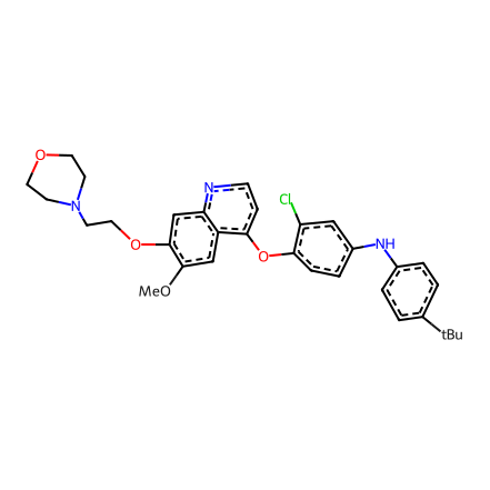 COc1cc2c(Oc3ccc(Nc4ccc(C(C)(C)C)cc4)cc3Cl)ccnc2cc1OCCN1CCOCC1